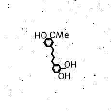 COc1cc(CCCCc2ccc(O)c(CO)c2)ccc1O